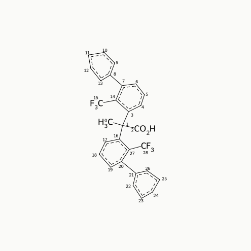 CC(C(=O)O)(c1cccc(-c2ccccc2)c1C(F)(F)F)c1cccc(-c2ccccc2)c1C(F)(F)F